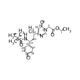 CCOC(=O)Cn1cnc([C@@H](C)C[C@H](N[S@@+]([O-])C(C)(C)C)c2ccc(Cl)cc2)cc1=O